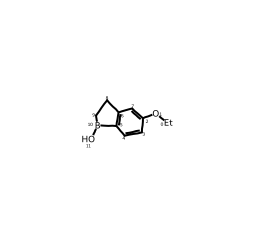 CCOc1ccc2c(c1)CCB2O